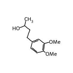 COc1ccc(CCC(C)O)cc1OC